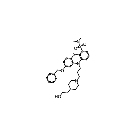 CN(C)S(=O)(=O)c1cccc2c1Sc1ccc(OCc3ccccc3)cc1N2CCCN1CCC(CCO)CC1